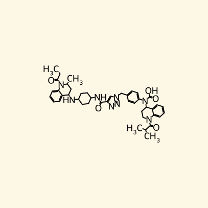 CCC(=O)N1c2ccccc2[C@H](NC2CCC(NC(=O)c3cn(Cc4ccc(N(C(=O)O)[C@@H]5CCN(C(=O)C(C)C)c6ccccc65)cc4)nn3)CC2)C[C@@H]1C